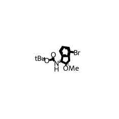 CO[C@@H]1Cc2c(Br)cccc2[C@H]1NC(=O)OC(C)(C)C